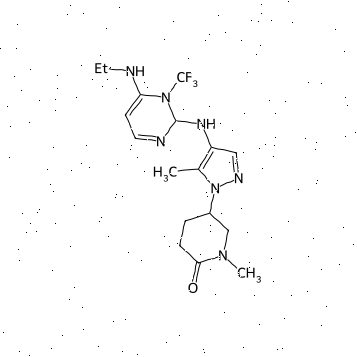 CCNC1=CC=NC(Nc2cnn(C3CCC(=O)N(C)C3)c2C)N1C(F)(F)F